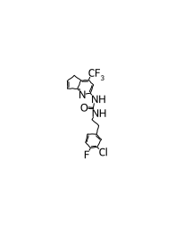 O=C(NCCc1ccc(F)c(Cl)c1)Nc1cc(C(F)(F)F)c2c(n1)C=CC2